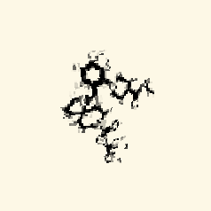 CN(C)C(=O)C1CCN(c2cc(C(F)(F)F)ccc2CN2CCCC23CCN(C(=O)OC(C(F)(F)F)C(F)(F)F)CC3)CC1